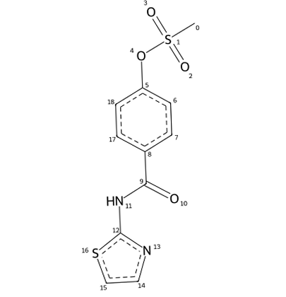 CS(=O)(=O)Oc1ccc(C(=O)Nc2nccs2)cc1